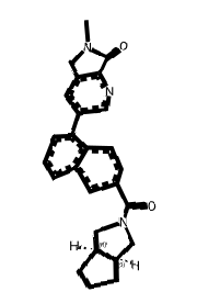 CN1Cc2cc(-c3cccc4cc(C(=O)N5C[C@H]6CCC[C@H]6C5)ccc34)cnc2C1=O